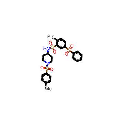 CC(C)(C)c1ccc(S(=O)(=O)N2CCC(NS(=O)(=O)c3cc(S(=O)(=O)c4ccccc4)ccc3C(F)(F)F)CC2)cc1